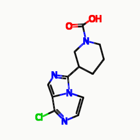 O=C(O)N1CCCC(c2ncc3c(Cl)nccn23)C1